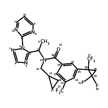 CC(c1ncnn1-c1ncccn1)N(CC1CC1)C(=O)c1cc(C(F)(F)F)cc(C2(C(F)(F)F)CC2(F)F)c1